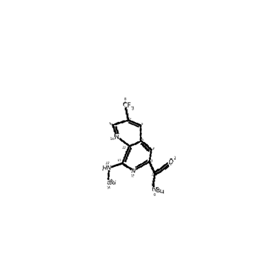 CCCCC(=O)c1cc2cc(C(F)(F)F)cnc2c(NC(C)(C)C)n1